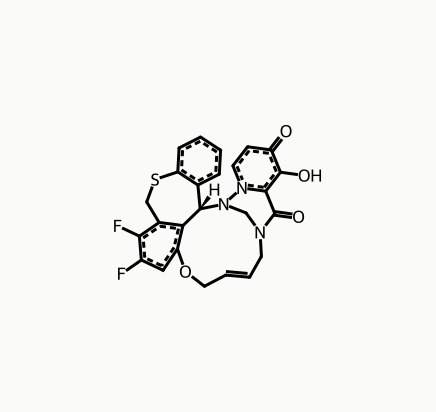 O=C1c2c(O)c(=O)ccn2N2CN1C/C=C/COc1cc(F)c(F)c3c1[C@@H]2c1ccccc1SC3